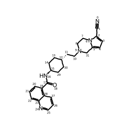 N#Cc1ccc2n1CCN(CC[C@H]1CC[C@H](NC(=O)c3cccc4ncccc34)CC1)C2